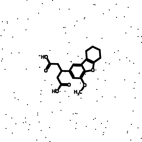 COc1cc(C(CC(=O)O)CC(=O)O)cc2c3c(oc12)CCCC3